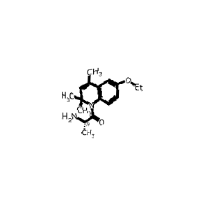 CCOc1ccc2c(c1)C(C)=CC(C)(C)N2C(=O)[C@H](C)N